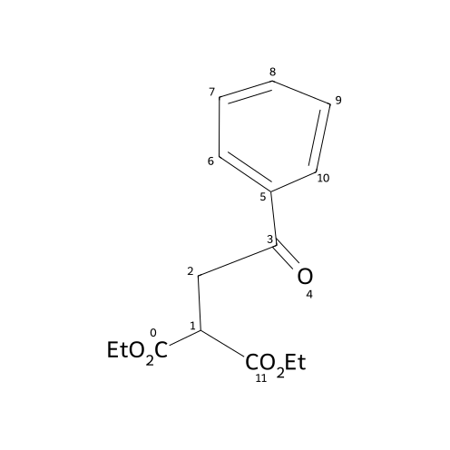 CCOC(=O)C(CC(=O)c1ccccc1)C(=O)OCC